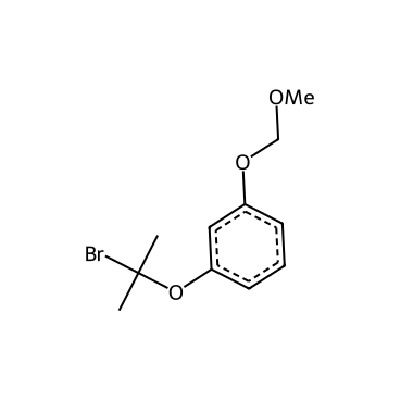 COCOc1cccc(OC(C)(C)Br)c1